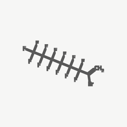 C=C(Br)C(F)(F)C(F)(F)C(F)(F)C(F)(F)C(F)(F)C(F)(F)F